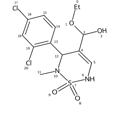 CCOC(O)C1=CNS(=O)(=O)N(C)C1c1ccc(Cl)cc1Cl